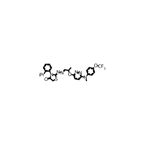 CC(/C=N/N=C1\SCC(=O)N1c1ccccc1C(C)C)Oc1ccc(N(C)c2ccc(OC(F)(F)F)cc2)nn1